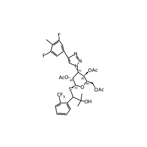 CC(=O)OC[C@H]1O[C@@H](SC(c2ccccc2C(F)(F)F)C(C)(C)O)[C@H](OC(C)=O)[C@@H](n2cc(-c3cc(F)c(C)c(F)c3)nn2)[C@H]1OC(C)=O